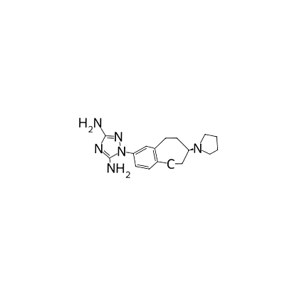 Nc1nc(N)n(-c2ccc3c(c2)CC[C@@H](N2CCCC2)CC3)n1